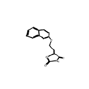 O=C1NC(=O)C(CCOc2ccc3ccccc3c2)S1